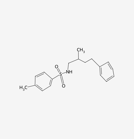 Cc1ccc(S(=O)(=O)NCC(C)CCc2ccccc2)cc1